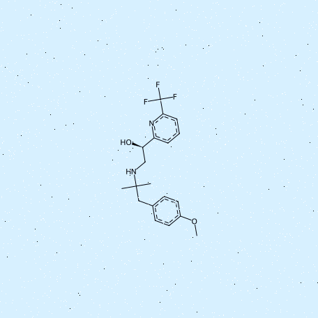 COc1ccc(CC(C)(C)NC[C@@H](O)c2cccc(C(F)(F)F)n2)cc1